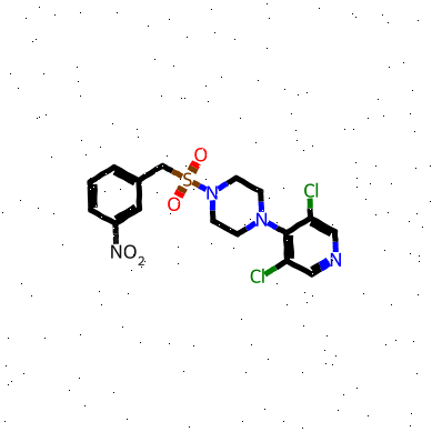 O=[N+]([O-])c1cccc(CS(=O)(=O)N2CCN(c3c(Cl)cncc3Cl)CC2)c1